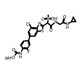 COC(=O)Nc1ccc(-c2cc(Cl)c3nc(C(C(=O)NCC(=O)NC4CC4)S(C)(=O)=O)sc3c2)cc1F